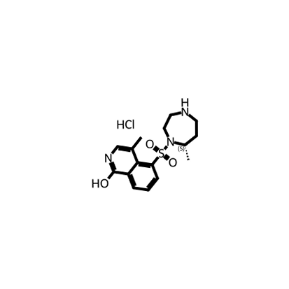 Cc1cnc(O)c2cccc(S(=O)(=O)N3CCNCC[C@@H]3C)c12.Cl